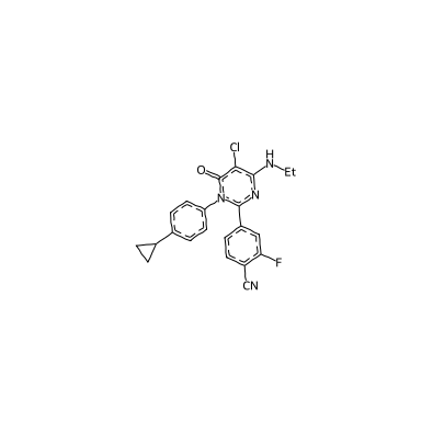 CCNc1nc(-c2ccc(C#N)c(F)c2)n(-c2ccc(C3CC3)cc2)c(=O)c1Cl